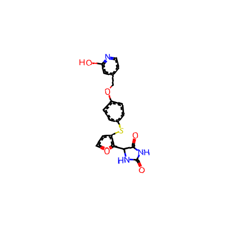 O=C1NC(=O)C(c2occc2Sc2ccc(OCc3ccnc(O)c3)cc2)N1